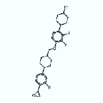 CCC1CCC(c2ccc(OCC3CCC(c4ccc(C5CO5)c(F)c4)CC3)c(F)c2F)CC1